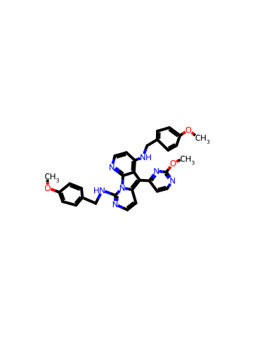 COc1ccc(CNc2ccnc3c2c(-c2ccnc(OC)n2)c2ccnc(NCc4ccc(OC)cc4)n23)cc1